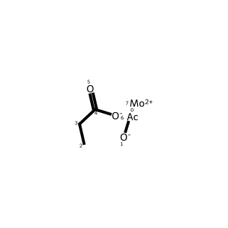 CC(=O)[O-].CCC(=O)[O-].[Mo+2]